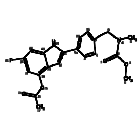 COC(=O)N(C)Cc1ccc(-c2cc3c(OC(C)=O)cc(F)cc3[nH]2)cc1